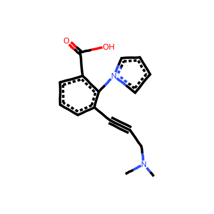 CN(C)CC#Cc1cccc(C(=O)O)c1-n1cccc1